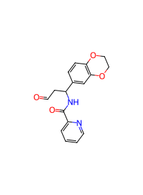 O=CCC(NC(=O)c1ccccn1)c1ccc2c(c1)OCCO2